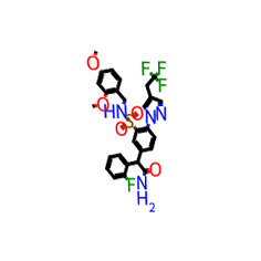 COc1ccc(CNS(=O)(=O)c2cc(C(C(N)=O)c3ccccc3F)ccc2-n2cc(CC(F)(F)F)cn2)c(OC)c1